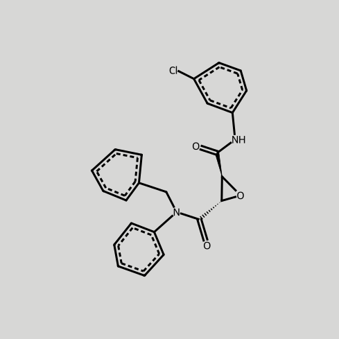 O=C(Nc1cccc(Cl)c1)[C@H]1O[C@@H]1C(=O)N(Cc1ccccc1)c1ccccc1